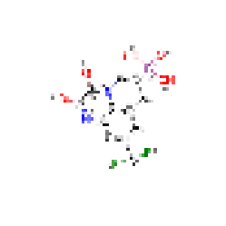 O=c1[nH]c2cc(C(F)(F)F)cc3c2n(c1=O)CC(P(=O)(O)O)C3